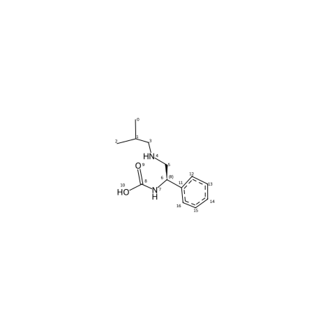 CC(C)CNC[C@H](NC(=O)O)c1ccccc1